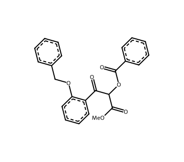 COC(=O)C(OC(=O)c1ccccc1)C(=O)c1ccccc1OCc1ccccc1